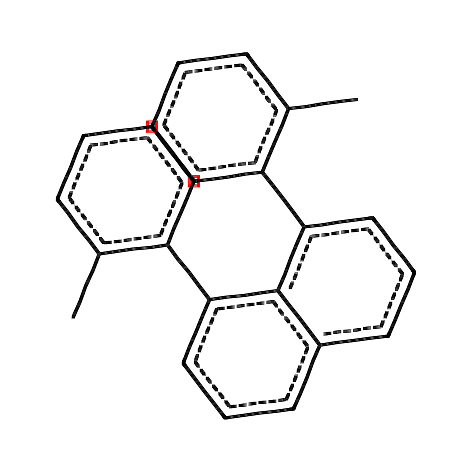 Cc1ccccc1-c1cccc2cccc(-c3ccccc3C)c12